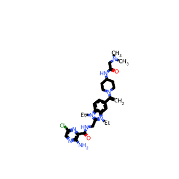 C=C(c1ccc2c(c1)n(CC)c(CNC(=O)c1nc(Cl)cnc1N)[n+]2CC)N1CCC(NC(=O)CN(C)C)CC1